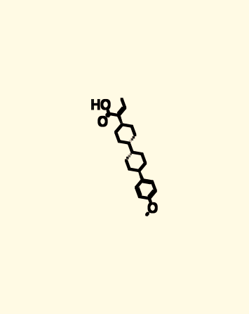 CC=C(C(=O)O)[C@H]1CC[C@H]([C@H]2CC[C@H](c3ccc(OC)cc3)CC2)CC1